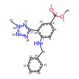 COC(=O)c1ccc(NCc2ccccc2)c(-c2nnn(C)n2)c1